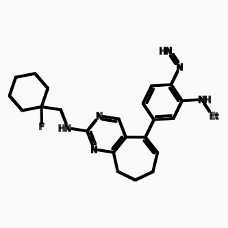 CCNc1cc(C2=CCCCc3nc(NCC4(F)CCCCC4)ncc32)ccc1N=N